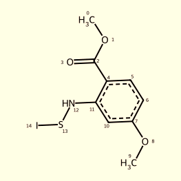 COC(=O)c1ccc(OC)cc1NSI